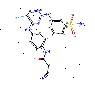 N#CCC(=O)Nc1ccc(Nc2nc(Nc3cccc(S(N)(=O)=O)c3)ncc2F)cc1